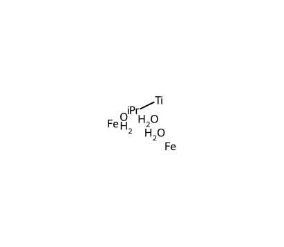 C[CH](C)[Ti].O.O.O.[Fe].[Fe]